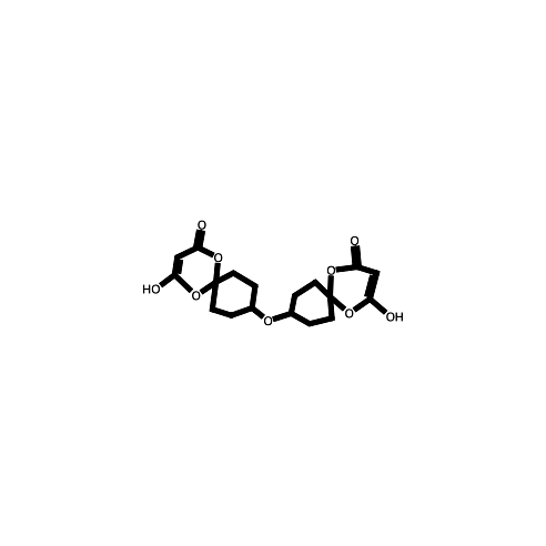 O=C1C=C(O)OC2(CCC(OC3CCC4(CC3)OC(=O)C=C(O)O4)CC2)O1